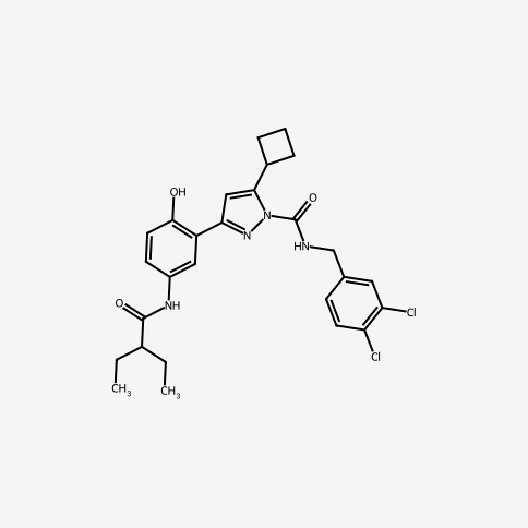 CCC(CC)C(=O)Nc1ccc(O)c(-c2cc(C3CCC3)n(C(=O)NCc3ccc(Cl)c(Cl)c3)n2)c1